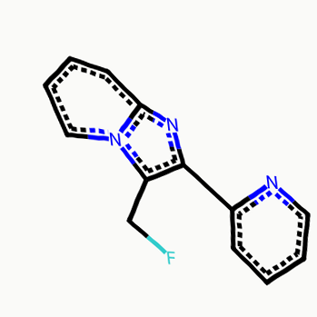 FCc1c(-c2ccccn2)nc2ccccn12